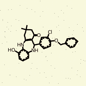 CC1(C)CC(=O)C2=C(C1)Nc1c(O)cccc1NC2c1ccc(OCc2ccccc2)c(Cl)c1